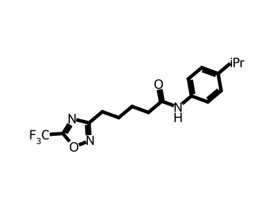 CC(C)c1ccc(NC(=O)CCCCc2noc(C(F)(F)F)n2)cc1